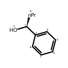 CCC[C@H](O)c1ccccc1